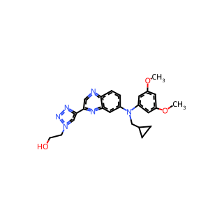 COc1cc(OC)cc(N(CC2CC2)c2ccc3ncc(-c4cn(CCO)nn4)nc3c2)c1